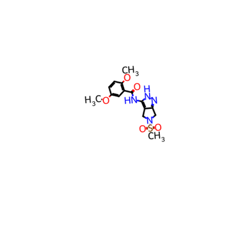 COc1ccc(OC)c(C(=O)Nc2[nH]nc3c2CN(S(C)(=O)=O)C3)c1